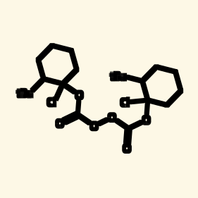 CC(C)(C)C1CCCCC1(Cl)OC(=O)OOC(=O)OC1(Cl)CCCCC1C(C)(C)C